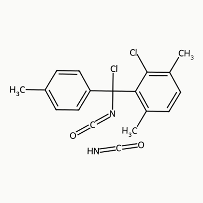 Cc1ccc(C(Cl)(N=C=O)c2c(C)ccc(C)c2Cl)cc1.N=C=O